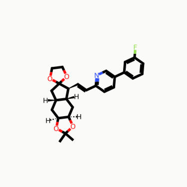 CC1(C)O[C@H]2C[C@@H]3CC4(OCCO4)[C@@H](/C=C/c4ccc(-c5cccc(F)c5)cn4)[C@@H]3C[C@H]2O1